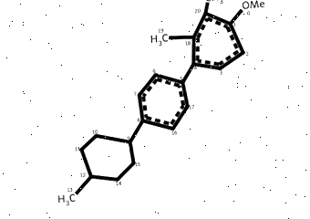 COc1ccc(-c2ccc(C3CCC(C)CC3)cc2)c(C)c1C